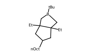 CCCCCCCCC1CC2(CC)CB(C(C)(C)C)CC2(CC)C1